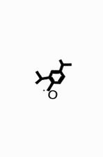 CC(C)c1ccc([C]=O)c(C(C)C)c1